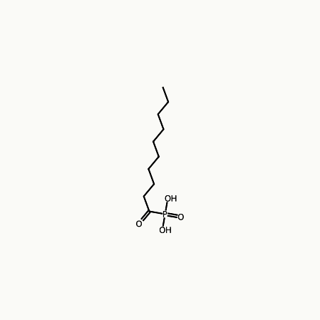 CCCCCCCCCC(=O)P(=O)(O)O